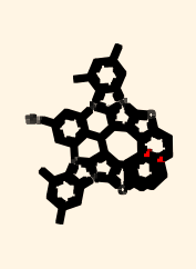 Cc1cc(C)c2c(c1)n1c3oc4ccc5ccccc5c4c3c3c1n2-c1cc(C(C)(C)C)cc2c1C3c1c3c4c(ccc5ccccc54)oc3n3c4cc(C)cc(C)c4n-2c13